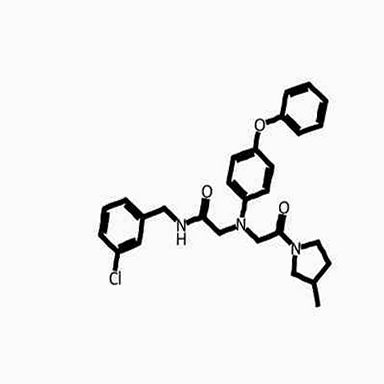 CC1CCN(C(=O)CN(CC(=O)NCc2cccc(Cl)c2)c2ccc(Oc3ccccc3)cc2)C1